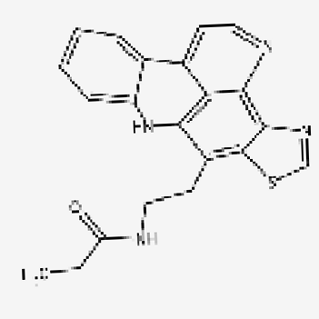 CCC(=O)NCCc1c2c3c(ccnc3c3ncsc13)-c1ccccc1N2